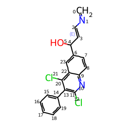 C=N/C=C/C(O)c1ccc2nc(Cl)c(-c3ccccc3)c(Cl)c2c1